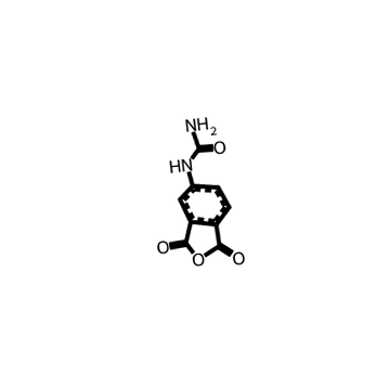 NC(=O)Nc1ccc2c(c1)C(=O)OC2=O